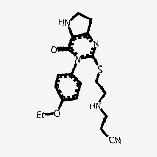 CCOc1ccc(-n2c(SCCNCCC#N)nc3c(c2=O)NCC3)cc1